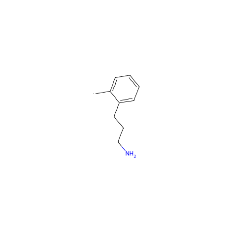 [CH2]c1ccccc1CCCN